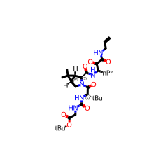 C=CCNC(=O)C(=O)C(CCC)NC(=O)[C@@H]1[C@@H]2[C@H](CN1C(=O)[C@@H](NC(=O)NCC(=O)OC(C)(C)C)C(C)(C)C)C2(C)C